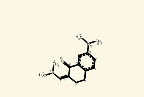 CN(C)/C=C1/CCc2ccc(N(C)C)cc2C1=O